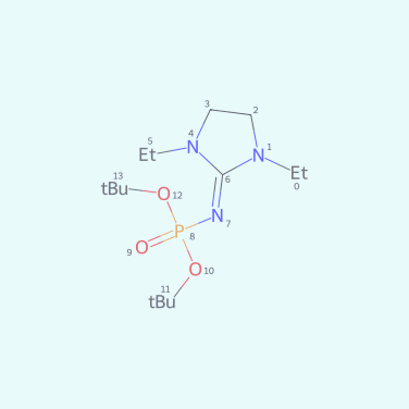 CCN1CCN(CC)C1=NP(=O)(OC(C)(C)C)OC(C)(C)C